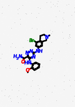 COc1ccccc1Nc1nc(Nc2cc(Br)c3c(c2)CN(C)CC3)nnc1C(N)=O